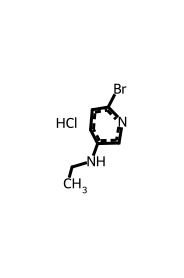 CCNc1ccc(Br)nc1.Cl